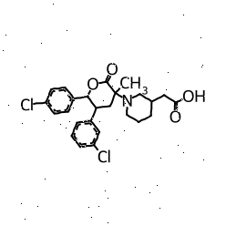 CC1(N2CCCC(CC(=O)O)C2)CC(c2cccc(Cl)c2)C(c2ccc(Cl)cc2)OC1=O